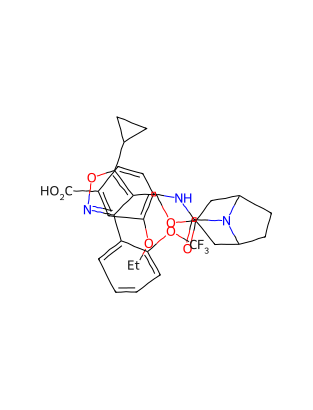 CCOc1cc(C(=O)O)ccc1NC(=O)N1C2CCC1CC(OCc1c(-c3ccccc3OC(F)(F)F)noc1C1CC1)C2